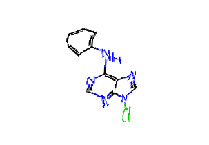 Cln1cnc2c(Nc3ccccc3)ncnc21